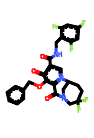 O=C(NCc1c(F)cc(F)cc1F)c1cn2c(c(OCc3ccccc3)c1=O)C(=O)N1CC2CCC(F)(F)C1